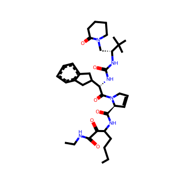 CCCCC(NC(=O)[C@@H]1C=CCN1C(=O)[C@@H](NC(=O)N[C@H](CN1CCCCC1=O)C(C)(C)C)C1Cc2ccccc2C1)C(=O)C(=O)NCC